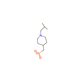 C[C](C)CN1CCC(C[SH](=O)=O)CC1